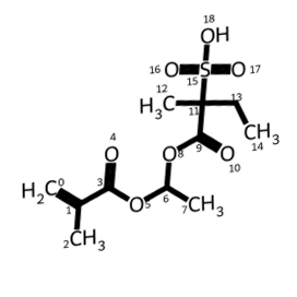 C=C(C)C(=O)OC(C)OC(=O)C(C)(CC)S(=O)(=O)O